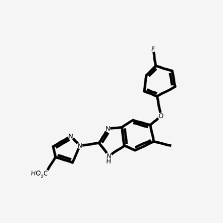 Cc1cc2[nH]c(-n3cc(C(=O)O)cn3)nc2cc1Oc1ccc(F)cc1